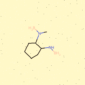 BNC1CCCCC1N(B)C